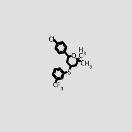 CC1(C)CC(Sc2cccc(C(F)(F)F)c2)CC(c2ccc(Cl)cc2)O1